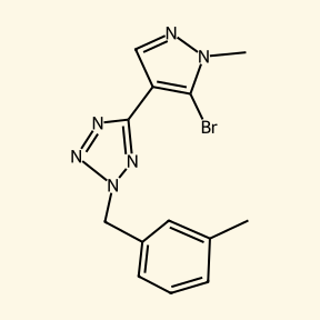 Cc1cccc(Cn2nnc(-c3cnn(C)c3Br)n2)c1